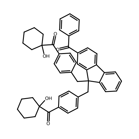 O=C(c1ccccc1)c1ccc2c(c1)C(Cc1ccc(C(=O)C3(O)CCCCC3)cc1)(Cc1ccc(C(=O)C3(O)CCCCC3)cc1)c1ccccc1-2